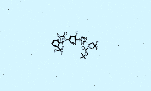 CN(C(=O)Nc1cnc(-n2cnc([C@@H]3CC(F)(F)CN3C(=O)OC(C)(C)C)n2)c(F)c1)c1cccc(C(F)(F)F)c1F